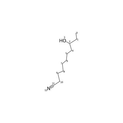 CCC(O)CCCCCCCC#N